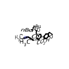 C/C=C/C(C)(C)C[C@H]1[C@H](C(=O)O)[C@@H](c2ccc3c(c2)CCO3)CN1CC(=O)N(CCCC)CCCC